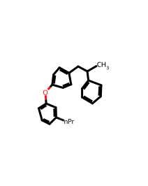 CCCc1cccc(Oc2ccc(CC(C)c3ccccc3)cc2)c1